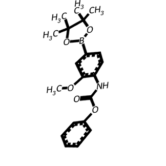 COc1cc(B2OC(C)(C)C(C)(C)O2)ccc1NC(=O)Oc1ccccc1